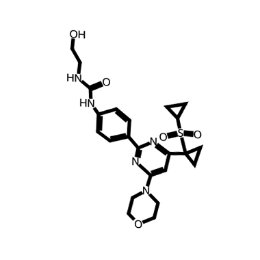 O=C(NCCO)Nc1ccc(-c2nc(N3CCOCC3)cc(C3(S(=O)(=O)C4CC4)CC3)n2)cc1